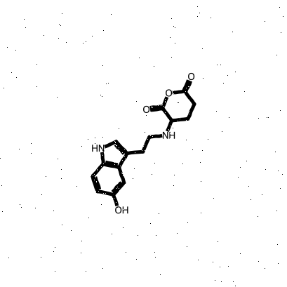 O=C1CCC(NCCc2c[nH]c3ccc(O)cc23)C(=O)O1